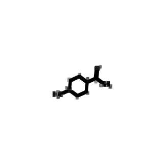 CN1[CH]CC(C(N)=O)CC1